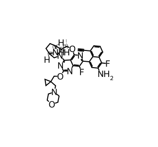 C#Cc1cccc2c(F)c(N)cc(-c3nc4c5c(nc(OCC6(CN7CCOCC7)CC6)nc5c3F)N3C[C@H]5CC[C@H](N5)[C@H]3[C@H](C)O4)c12